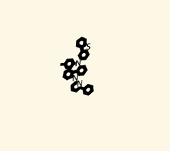 Cc1ccc(N(c2ccc3sc4ccccc4c3c2)c2cccc3c2c2ccccc2n3-c2cccc(-c3ccccc3)n2)cc1